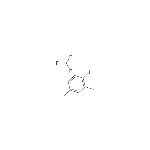 Cc1ccc(I)c(C)c1.FC(F)F